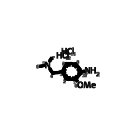 COc1cc(CN(C)C)ccc1N.Cl.Cl